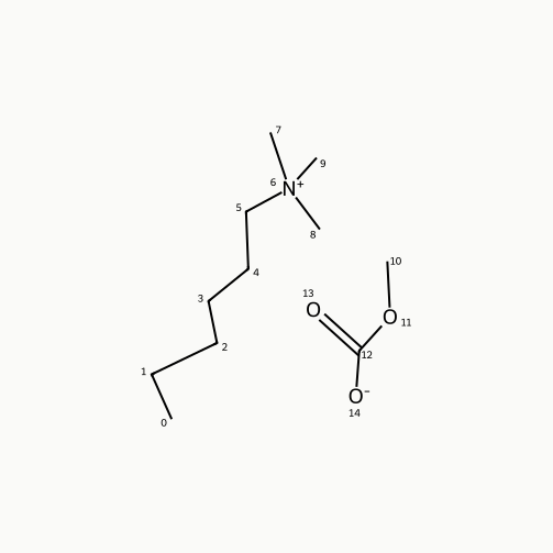 CCCCCC[N+](C)(C)C.COC(=O)[O-]